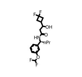 CCC[C@H](NC(=O)CC(O)C1CC(F)(F)C1)c1cccc(OC(F)F)c1